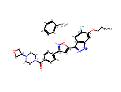 COCCOc1cc2[nH]nc(-c3cc(-c4ccc(C(=O)N5CCN(C6COC6)CC5)cc4)no3)c2cc1F.O=S(=O)(O)c1ccccc1